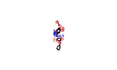 COCCOc1cc2ncnc(NC3=CC(=O)C(OCC4CCCCC4)=CC3=O)c2cc1OC